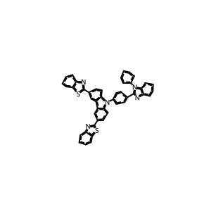 c1ccc(-n2c(-c3ccc(-n4c5ccc(-c6nc7ccccc7s6)cc5c5cc(-c6nc7ccccc7s6)ccc54)cc3)nc3ccccc32)cc1